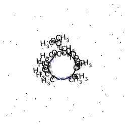 CO[C@H]1CC2CC[C@@H](C)[C@@](O)(O2)C(=O)C(=O)N2CCCC[C@H]2C(=O)O[C@H](C(C)C[C@@H]2CC[C@@H](C)[C@H](OC)C2)CC(=O)[C@H](C)/C=C(\C)[C@@H](O)[C@@H](OC)C(=O)[C@H](C)C[C@H](C)/C=C/C=C/C=C/1C